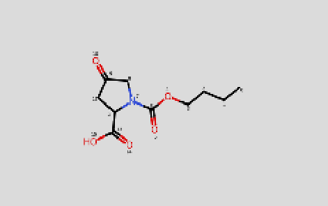 CCCCOC(=O)N1CC(=O)CC1C(=O)O